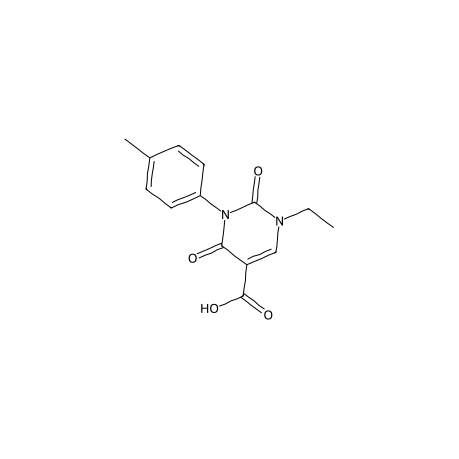 CCn1cc(C(=O)O)c(=O)n(-c2ccc(C)cc2)c1=O